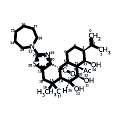 C=C(C)[C@@H]1CCC2[C@@]34CO[C@@](O)([C@@H](O)C3C(C)(C)Cc3sc(N5CCCCCC5)nc34)[C@@]2(C(C)=O)[C@@H]1O